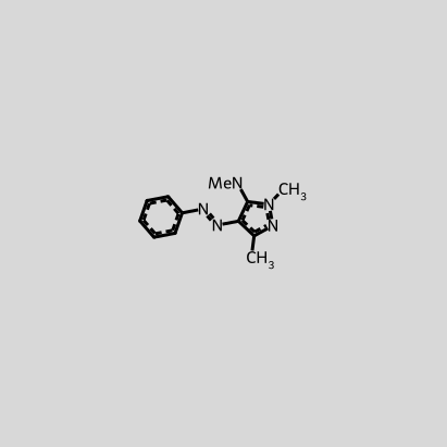 CNc1c(N=Nc2ccccc2)c(C)nn1C